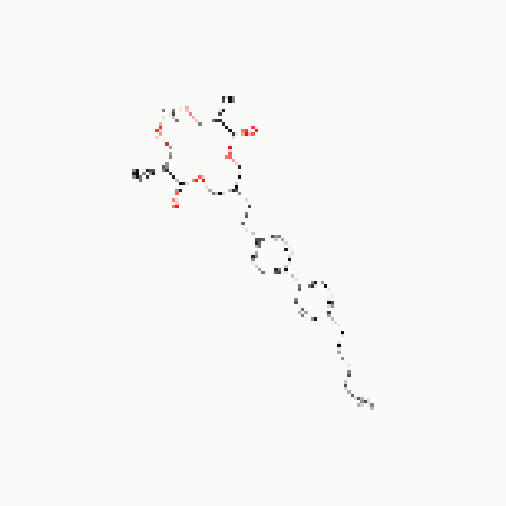 C=C(CO)C(=O)OCC(CCc1ccc(-c2ccc(CCCCC)cc2)cc1)COC(=O)C(=C)COC